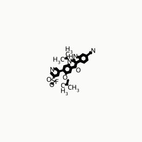 CC(C)COc1cc2c(=O)c3c4ccc(C#N)cc4[nH]c3n(C(C)C)c2cc1-c1cncc(S(=O)(=O)F)c1